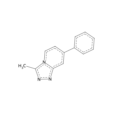 Cc1nnc2cc(-c3ccccc3)ccn12